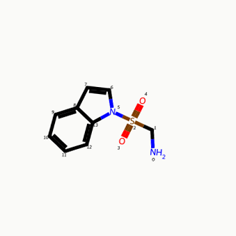 NCS(=O)(=O)n1ccc2ccccc21